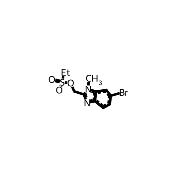 CCS(=O)(=O)OCc1nc2ccc(Br)cc2n1C